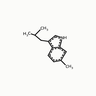 Cc1ccc2c(CC(C)C)c[nH]c2c1